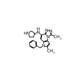 Cc1cc2c(cc(N[C@H]3CCNC3)c3nnc(C)n32)n1Cc1ccccc1